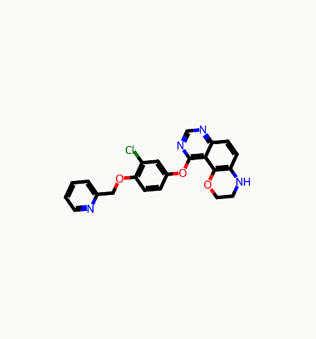 Clc1cc(Oc2ncnc3ccc4c(c23)OCCN4)ccc1OCc1ccccn1